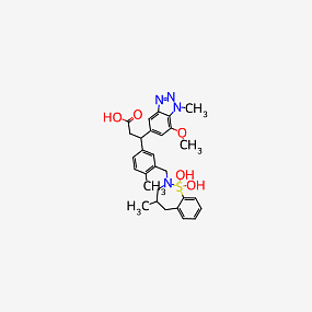 COc1cc(C(CC(=O)O)c2ccc(C)c(CN3CC(C)Cc4ccccc4S3(O)O)c2)cc2nnn(C)c12